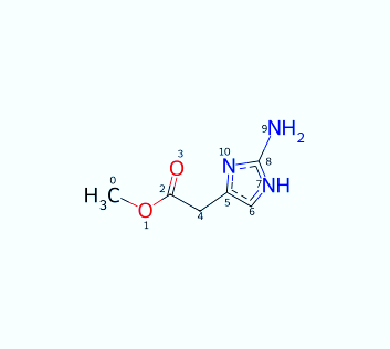 COC(=O)Cc1c[nH]c(N)n1